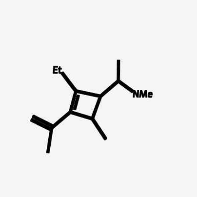 C=C(C)C1=C(CC)C(C(C)NC)C1C